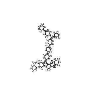 CC1(C)c2ccccc2-c2cc3c4ccc5c(c4n(-c4ccc(-c6ccc(-c7ccc(N(c8ccccc8)c8ccc(-c9ccccc9)cc8)cc7)cc6)cc4)c3cc21)Sc1ccccc1S5